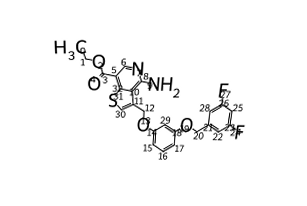 CCOC(=O)c1cnc(N)c2c(COc3cccc(OCc4cc(F)cc(F)c4)c3)csc12